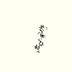 Cc1n[nH]cc1-c1c[c]cc(OCCNC(=O)Cc2csc(N)n2)c1